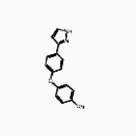 Oc1ccc(Oc2ccc(-c3cc[nH]n3)cc2)cc1